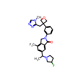 CC(c1cc2c(c(C(F)(F)F)c1)CN(c1cccc(C3(Cc4nncn4C)COC3)c1)C2=O)N1CCC(F)C1